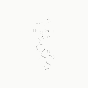 Cc1c(-c2ccco2)c(=O)[nH]c2cc(N[C@@H](C=O)[C@@H](O)[C@H](O)[C@H](O)CO)ccc12